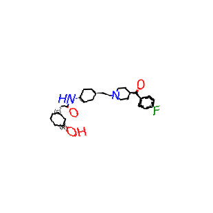 O=C(C[C@H]1CCC[C@@H](O)C1)N[C@H]1CC[C@H](CCN2CCC(C(=O)c3ccc(F)cc3)CC2)CC1